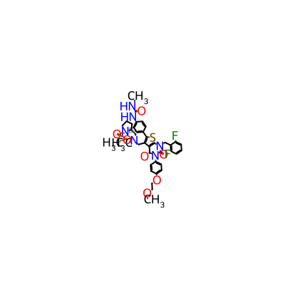 CCNC(=O)Nc1ccc(-c2sc3c(c2CN(C)C[C@@H]2CCCN2S(C)(=O)=O)c(=O)n(-c2ccc(OCCOC)cc2)c(=O)n3Cc2c(F)cccc2F)cc1